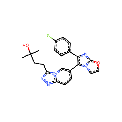 CC(C)(O)CCc1nnc2ccc(-c3c(-c4ccc(F)cc4)nc4occn34)cn12